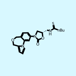 CCCCC(=S)NC[C@H]1CN(c2ccc3c(c2)-n2cccc2COC3)C(=O)O1